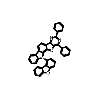 c1ccc(-c2nc(-c3ccccc3)c3oc4c(ccc5c6ccccc6n(-c6cccc7oc8ccccc8c67)c54)c3n2)cc1